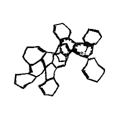 C1=CC(N(C2=CCCCC2)C2=CCC(C3=CCCC4C5CCC=CC5C5(C6Cc7c8c(c9ccccc9c7C=C6C6CCC=CC65)CCC=C8)C34)CC2)CCC1